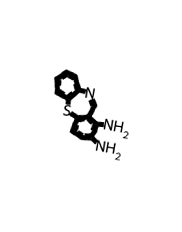 Nc1ccc2c(c1N)C=Nc1ccccc1S2